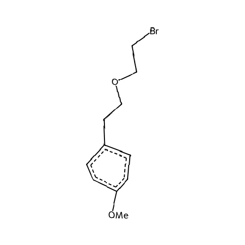 COc1ccc(CCOCCBr)cc1